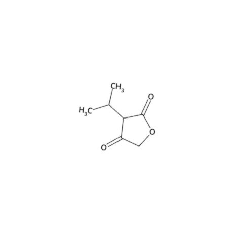 CC(C)C1C(=O)COC1=O